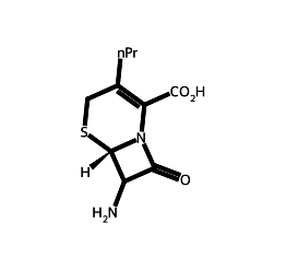 CCCC1=C(C(=O)O)N2C(=O)C(N)[C@@H]2SC1